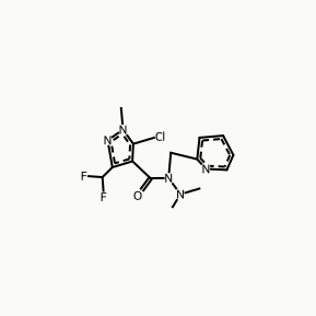 CN(C)N(Cc1ccccn1)C(=O)c1c(C(F)F)nn(C)c1Cl